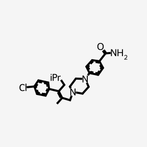 CC(CN1CCN(c2ccc(C(N)=O)cc2)CC1)=C(CC(C)C)c1ccc(Cl)cc1